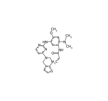 C=CC(=O)Nc1cc(Nc2nccc(N3CCc4sccc4C3)n2)c(OC)cc1N(C)C